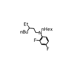 CCCCCCN(CCC(CC)CCCC)c1ccc(F)cc1F